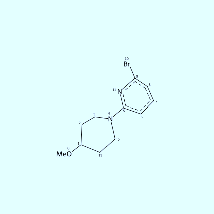 COC1CCN(c2cccc(Br)n2)CC1